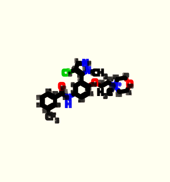 Cn1ncc(Cl)c1-c1cc(NC(=O)c2cccc(C(F)(F)F)c2)ccc1OCC[N+]1(C)CCOCC1